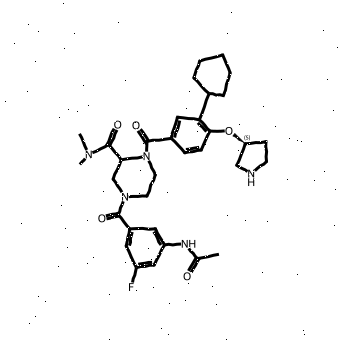 CC(=O)Nc1cc(F)cc(C(=O)N2CCN(C(=O)c3ccc(O[C@H]4CCNC4)c(C4CCCCC4)c3)C(C(=O)N(C)C)C2)c1